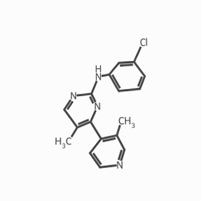 Cc1cnccc1-c1nc(Nc2cccc(Cl)c2)ncc1C